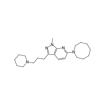 Cn1nc(CCCN2CCCCC2)c2ccc(N3CCCCCCC3)nc21